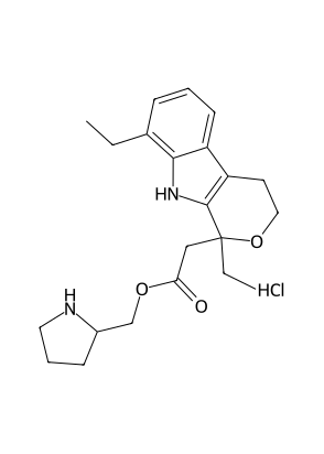 CCc1cccc2c3c([nH]c12)C(CC)(CC(=O)OCC1CCCN1)OCC3.Cl